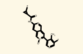 Cc1c(F)cncc1-c1cc2cnc(NC(=O)C3CC3F)cc2c[n+]1[O-]